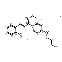 CCCCOc1ccc2c(c1)CCN=C2C=Cc1ccccc1Cl